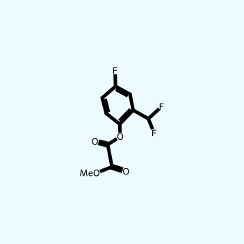 COC(=O)C(=O)Oc1ccc(F)cc1C(F)F